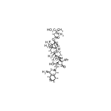 CC(C)C1=C2[C@H]3CC[C@@H]4[C@@]5(C)CC[C@H](OC(=O)CC(C)(C)C(=O)O)C(C)(C)[C@@H]5CC[C@@]4(C)[C@]3(C)CC[C@@]2([C@@H](O)CN(CCN)Cc2ccncc2)CC1=O